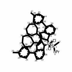 CCC[SiH](C)[Zr]([Cl])([Cl])([CH]1C(CC2CCCCCC2)=Cc2c(-c3ccc(C)cc3)cccc21)[CH]1C(CC2CCCCCC2)=Cc2c(-c3ccc(C)cc3)cccc21